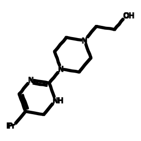 CC(C)C1=CN=C(N2CCN(CCO)CC2)NC1